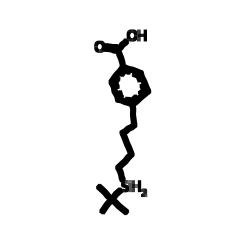 CC(C)(C)[SiH2]CCCCc1ccc(C(=O)O)cc1